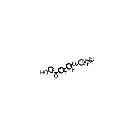 CCC(F)(CC)CN1CCC(COc2ccc(-c3ccc(C(=O)N4CCCC(O)C4)cc3F)cc2F)CC1